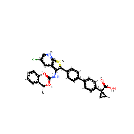 C[C@@H](OC(=O)Nc1c(-c2ccc(-c3ccc(C4(C(=O)O)CC4)cc3)cc2)sc2ncc(Cl)cc12)c1ccccc1